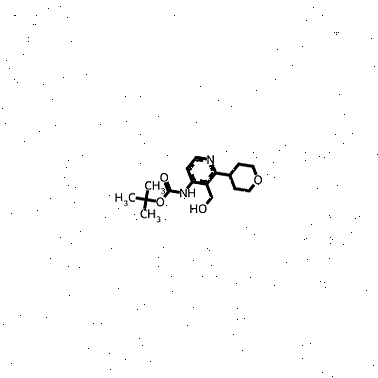 CC(C)(C)OC(=O)Nc1ccnc(C2CCOCC2)c1CO